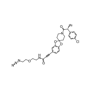 CC(C)[C@H](C(=O)N1CCC2(CC1)Oc1ccc(C#CC(=O)NCCOCCN=[N+]=[N-])cc1O2)c1ccc(Cl)cc1